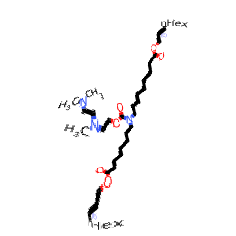 CCCCCC/C=C/COC(=O)CCCCCCCCN(CCCCCCCC(=O)OC/C=C/CCCCCC)C(=O)OCCN(C)CCN(C)C